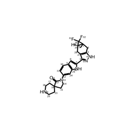 CC12Cc3[nH]nc(-c4cc5ccc(N6CCC7(CCNCC7)C6=O)cc5[nH]4)c3C[C@@H]1C2(F)F